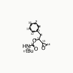 CC(C)(C)NC(=O)OC(Cc1ccccc1)C1CO1